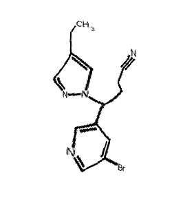 CCc1cnn(C(CC#N)c2cncc(Br)c2)c1